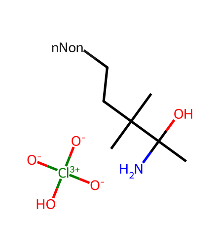 CCCCCCCCCCCC(C)(C)C(C)(N)O.[O-][Cl+3]([O-])([O-])O